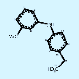 COc1cccc(Nc2ccc(CC(=O)O)cc2)c1